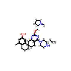 Cc1cc(O)cc2c1CCCC21CCc2c(nc(OC[C@@H]3CCCN3C)nc2N2CCN[C@@H](CC#N)C2)C1